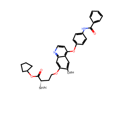 COc1cc2c(Oc3ccc(NC(=O)c4ccccc4)cc3)ccnc2cc1OCC[C@H](NC(C)=O)C(=O)OC1CCCC1